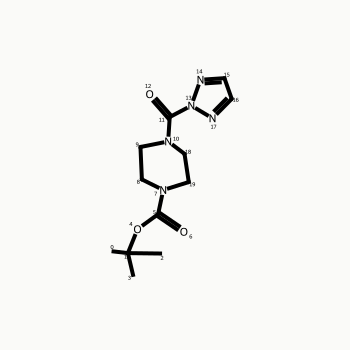 CC(C)(C)OC(=O)N1CCN(C(=O)n2nccn2)CC1